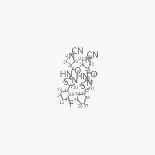 N#CN1CCC(C(=O)Nc2ncc(-c3cccc(F)c3)s2)C1.N#CN1CC[C@H](C(=O)Nc2ncc(-c3ccccc3)s2)C1